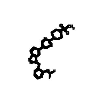 CS(=O)(=O)N1CCN(c2ncc(-c3ccc4nnn(Cc5ccccc5OC(F)F)c4c3)cn2)CC1